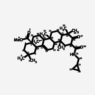 COC(=O)[C@]12CCC(C)(C)CC1C1=CCC3[C@@]4(C)CC(C(=O)NCC5CC5)C(=O)C(C)(C)C4CC[C@@]3(C)[C@]1(C)CC2